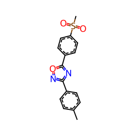 Cc1ccc(-c2noc(-c3ccc(S(C)(=O)=O)cc3)n2)cc1